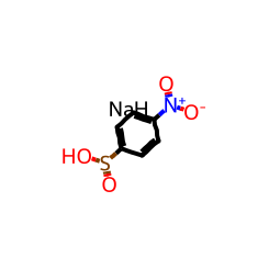 O=[N+]([O-])c1ccc(S(=O)O)cc1.[NaH]